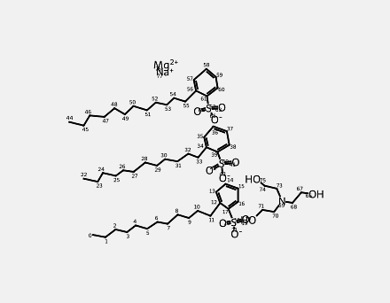 CCCCCCCCCCCCc1ccccc1S(=O)(=O)[O-].CCCCCCCCCCCCc1ccccc1S(=O)(=O)[O-].CCCCCCCCCCCCc1ccccc1S(=O)(=O)[O-].OCCN(CCO)CCO.[Mg+2].[Na+]